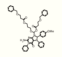 COc1ccc(C2N(c3ccccc3)c3c(nc(N)n(-c4ccccc4)c3=O)N2C(OCCCOC(=O)CCOCc2ccccc2)OC(=O)CCOCc2ccccc2)cc1